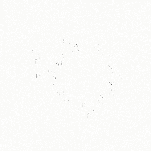 CCO[C@@H]1C[C@H]2C(=O)NC3(CCC3)C(=O)N(C)[C@@H](C3CCCC3)C(=O)N(C)[C@H](C(=O)N(C)CC)CC(=O)N(C)[C@@H](CC)C(=O)N[C@@H]([C@@H](C)CC)C(=O)N(C)CC(=O)N(C)[C@H]3C/C=C\CCN(C3=O)[C@@H](CC3CCC(F)(F)CC3)C(=O)N(C)CC(=O)N[C@@H](CCc3cc(F)c(C(F)(F)F)c(F)c3)C(=O)N2C1